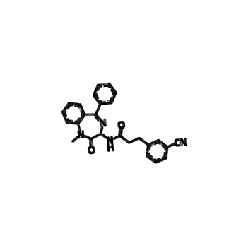 CN1C(=O)C(NC(=O)CCc2cccc(C#N)c2)N=C(c2ccccc2)c2ccccc21